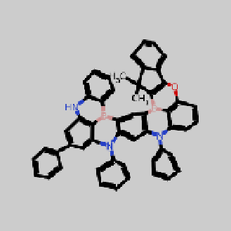 CC1(C)C2=C(Oc3cccc4c3B2c2cc3c(cc2N4c2ccccc2)N(c2ccccc2)c2cc(-c4ccccc4)cc4c2B3c2ccccc2N4)c2ccccc21